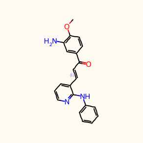 COc1ccc(C(=O)/C=C/c2cccnc2Nc2ccccc2)cc1N